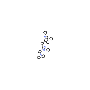 c1ccc(-c2cc(-c3ccccc3)c3c(cc(-c4cccc(-c5cc(-c6cccc(-n7c8ccccc8c8ccccc87)c6)nc(-c6ccccc6)n5)c4)c4ccccc43)n2)cc1